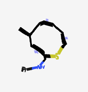 C=C1/C=C\C=C/S/C(NC(C)C)=C\1